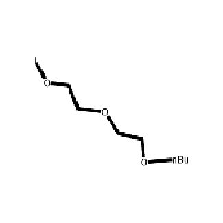 CCCCOCCOCCOI